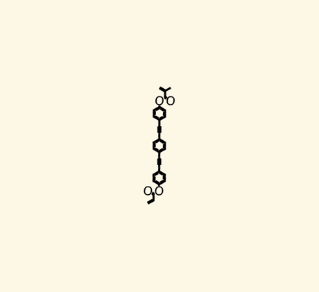 C=CC(=O)Oc1ccc(C#Cc2ccc(C#Cc3ccc(OC(=O)C(=C)C)cc3)cc2)cc1